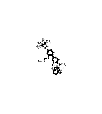 COCOc1cc(B2OC(C)(C)C(C)(C)O2)ccc1-c1cnc(N(C)[C@@H]2C[C@H]3CC[C@@H]([C@@H]2F)N3C(=O)O)cn1